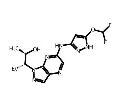 CC[C@H]([C@@H](C)O)n1ncc2ncc(Nc3cc(OC(F)F)[nH]n3)nc21